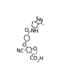 Cc1nsc2ccc(NC(=O)c3ccc(Oc4cc5c(cc4C#N)C(C(=O)O)CCO5)cc3)cc12